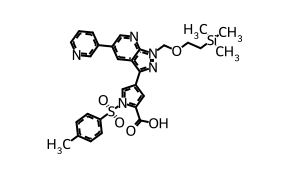 Cc1ccc(S(=O)(=O)n2cc(-c3nn(COCC[Si](C)(C)C)c4ncc(-c5cccnc5)cc34)cc2C(=O)O)cc1